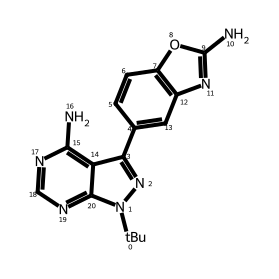 CC(C)(C)n1nc(-c2ccc3oc(N)nc3c2)c2c(N)ncnc21